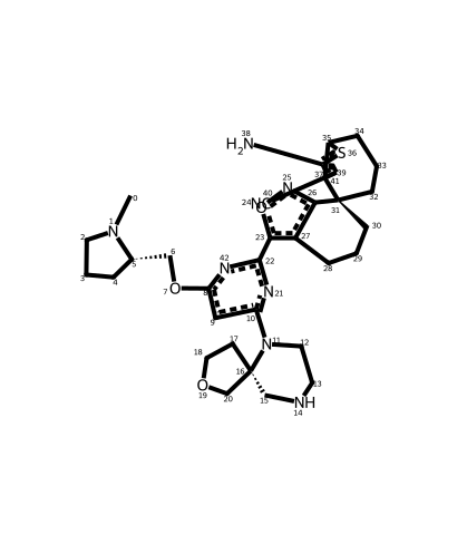 CN1CCC[C@H]1COc1cc(N2CCNC[C@]23CCOC3)nc(-c2onc3c2CCC[C@@]32CCCc3sc(N)c(C#N)c32)n1